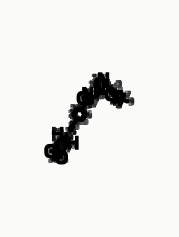 C[C@H](O[Si](C)(C)C(C)(C)C)c1nccn1Cc1cc(-c2ccc(C#C[C@@H]3[C@H]4CN(S(C)(=O)=O)C[C@@H]34)cc2)on1